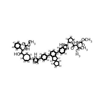 COC(=O)NC(C(=O)N1CCC[C@H]1c1nc2ccc(-c3ccc(-c4ccc(-c5cnc([C@@H]6C=CCC(C(O)[C@H](NC(=O)OC)c7ccccc7)CC6)[nH]5)cc4)c4c3CC3(CCCC3)C4)cc2[nH]1)C(C)C